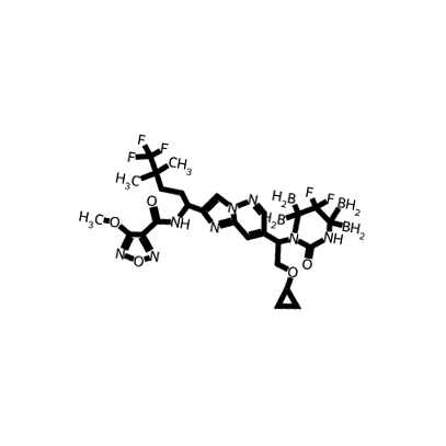 BC1(B)NC(=O)N(C(COC2CC2)c2cnn3cc(C(CCC(C)(C)C(F)(F)F)NC(=O)c4nonc4OC)nc3c2)C(B)(B)C1(F)F